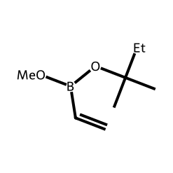 C=CB(OC)OC(C)(C)CC